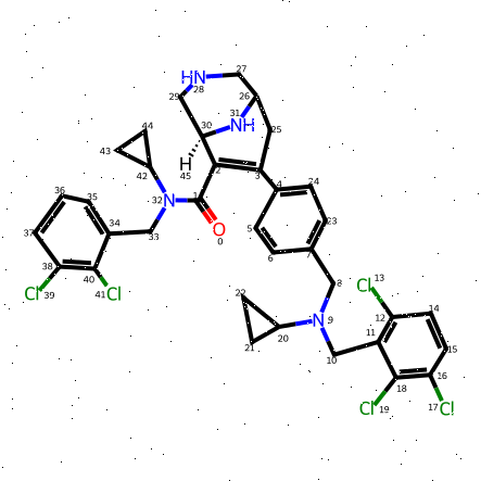 O=C(C1=C(c2ccc(CN(Cc3c(Cl)ccc(Cl)c3Cl)C3CC3)cc2)CC2CNC[C@H]1N2)N(Cc1cccc(Cl)c1Cl)C1CC1